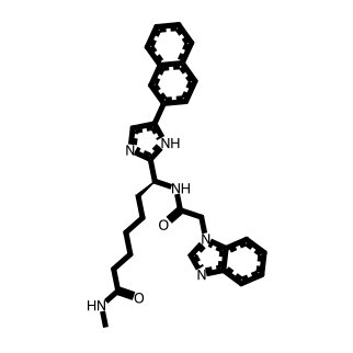 CNC(=O)CCCCC[C@H](NC(=O)Cn1cnc2ccccc21)c1ncc(-c2ccc3ccccc3c2)[nH]1